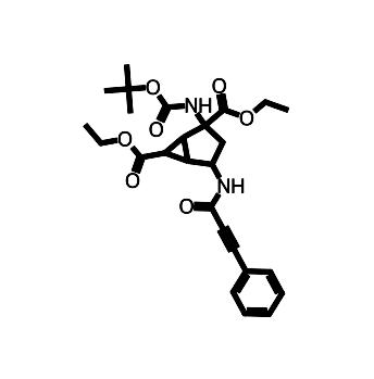 CCOC(=O)C1C2C(NC(=O)C#Cc3ccccc3)CC(NC(=O)OC(C)(C)C)(C(=O)OCC)C12